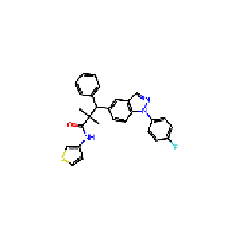 CC(C)(C(=O)Nc1ccsc1)C(c1ccccc1)c1ccc2c(cnn2-c2ccc(F)cc2)c1